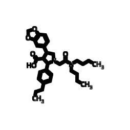 CCCCN(CCCC)C(=O)CN1CC(c2ccc3c(c2)OCO3)C(C(=O)O)C1c1ccc(CCC)cc1